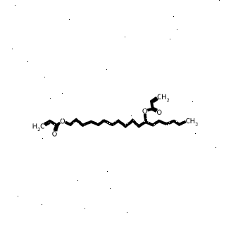 C=CC(=O)OCCCCCCCCCCCC(CCCCCC)OC(=O)C=C